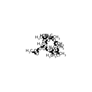 CCC(CC(C)C)OC[C@@H](COCC(COCC(COCC(COCC(CC(C)C)C(C)C)C(C)C)OC(CC)COCC1COCC(CC)O1)OC[C@H](CC(C)C)C(C)C)C(C)C